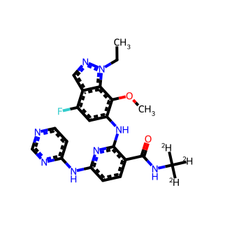 [2H]C([2H])([2H])NC(=O)c1ccc(Nc2ccncn2)nc1Nc1cc(F)c2cnn(CC)c2c1OC